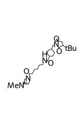 CN[C@@H]1CCN(C(=O)CCCCCNC(=O)C2CCC(CN3C(=O)CC(C(C)(C)C)C3=O)CC2)C1